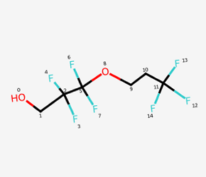 OCC(F)(F)C(F)(F)OCCC(F)(F)F